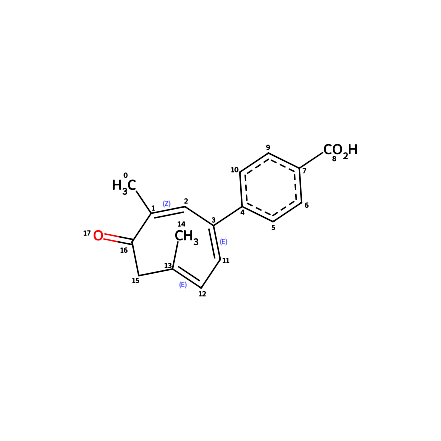 C/C1=C/C(c2ccc(C(=O)O)cc2)=C\C=C(/C)CC1=O